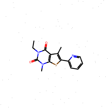 CCn1c(=O)c2c(C)c(-c3ccccn3)sc2n(C)c1=O